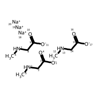 CNCC(=O)[O-].CNCC(=O)[O-].CNCC(=O)[O-].[Na+].[Na+].[Na+]